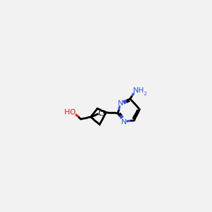 Nc1ccnc(C23CC(CO)(C2)C3)n1